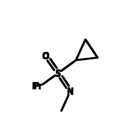 CN=S(=O)(C(C)C)C1CC1